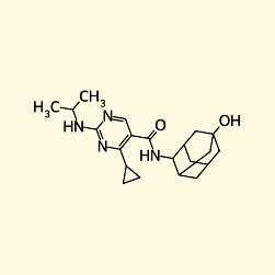 CC(C)Nc1ncc(C(=O)NC2C3CC4CC2CC(O)(C4)C3)c(C2CC2)n1